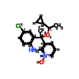 CC(OC1(C(F)(F)F)c2cc(Cl)ccc2Nc2c1ccc[n+]2[O-])C1CC1